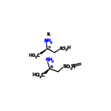 C=C.N[C@@H](CS(=O)(=O)O)C(=O)O.N[C@@H](CS(=O)(=O)O)C(=O)O.[K]